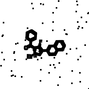 CC[C@H]1CC(c2ccc3ccccc3c2)=C(F)N1C(=O)c1ccccc1